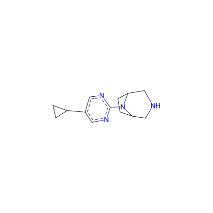 c1nc(N2C3CCC2CNC3)ncc1C1CC1